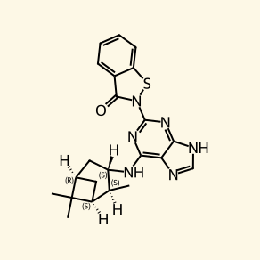 C[C@@H]1[C@@H](Nc2nc(-n3sc4ccccc4c3=O)nc3[nH]cnc23)C[C@H]2C[C@@H]1C2(C)C